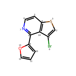 Brc1csc2ccnc(-c3ccco3)c12